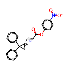 O=C(/C=C/[C@@H]1CC1(c1ccccc1)c1ccccc1)Oc1ccc([N+](=O)[O-])cc1